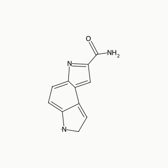 NC(=O)C1=Nc2ccc3c(c2=C1)=CC[N]3